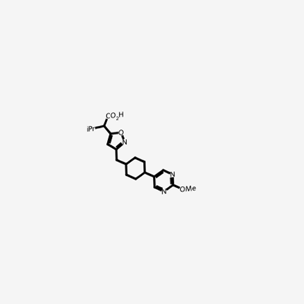 COc1ncc(C2CCC(Cc3cc(C(C(=O)O)C(C)C)on3)CC2)cn1